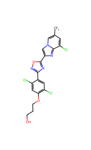 OC[CH]COc1cc(Cl)c(-c2noc(-c3cn4cc(C(F)(F)F)cc(Cl)c4n3)n2)cc1Cl